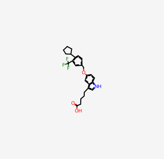 O=C(O)CCCCc1c[nH]c2ccc(OCc3ccc(C4CCCC4)c(C(F)(F)F)c3)cc12